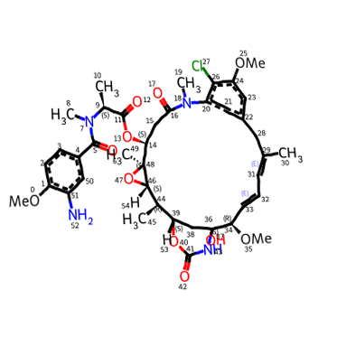 COc1ccc(C(=O)N(C)[C@@H](C)C(=O)O[C@H]2CC(=O)N(C)c3cc(cc(OC)c3Cl)C/C(C)=C/C=C/[C@@H](OC)[C@@]3(O)C[C@H](OC(=O)N3)[C@@H](C)[C@@H]3O[C@@]23C)cc1N